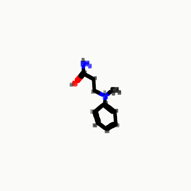 CN(CCC(N)=O)c1cc[c]cc1